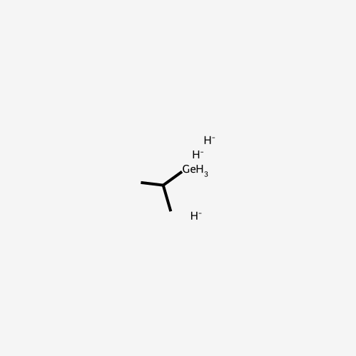 C[CH](C)[GeH3].[H-].[H-].[H-]